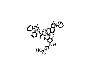 C[C@@H]1Cc2c(ccc3c2cnn3C2CCCCO2)[C@@H](c2c(F)cc(NC3CN(C(=O)O)C3)cc2F)N1CC(F)(F)CO[Si](c1ccccc1)(c1ccccc1)C(C)(C)C